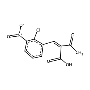 CC(=O)/C(=C/c1cccc([N+](=O)[O-])c1Cl)C(=O)O